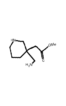 COC(=O)CC1(CN)CCCNC1